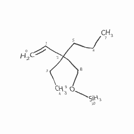 C=CC(CC)(CCC)CO[SiH3]